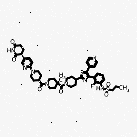 CCCS(=O)(=O)Nc1cccc(-c2nc(C3CCN(C(=O)C4(C)CCN(C(=O)C5CCN(c6ccc([C@@H]7CCC(=O)NC7=O)cn6)CC5)CC4)CC3)sc2-c2ccncc2)c1F